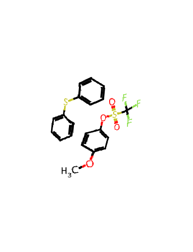 COc1ccc(OS(=O)(=O)C(F)(F)F)cc1.c1ccc(Sc2ccccc2)cc1